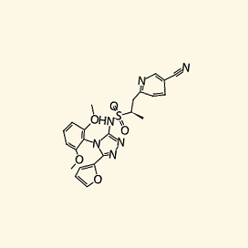 COc1cccc(OC)c1-n1c(NS(=O)(=O)[C@H](C)Cc2ccc(C#N)cn2)nnc1-c1ccco1